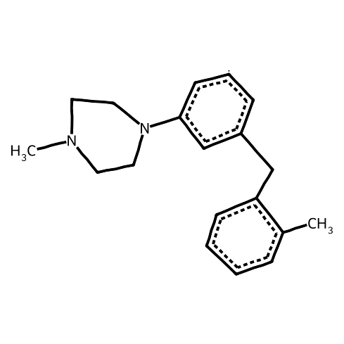 Cc1ccccc1Cc1c[c]cc(N2CCN(C)CC2)c1